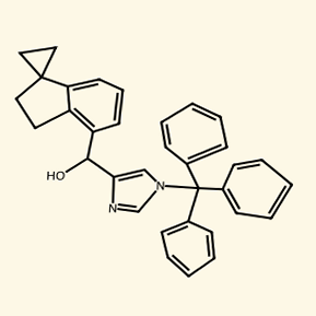 OC(c1cn(C(c2ccccc2)(c2ccccc2)c2ccccc2)cn1)c1cccc2c1CCC21CC1